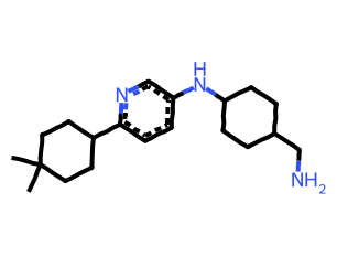 CC1(C)CCC(c2ccc(NC3CCC(CN)CC3)cn2)CC1